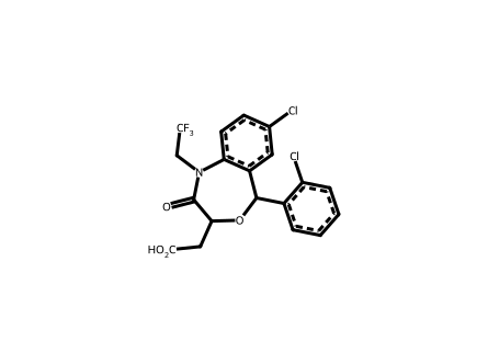 O=C(O)CC1OC(c2ccccc2Cl)c2cc(Cl)ccc2N(CC(F)(F)F)C1=O